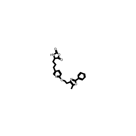 Cc1oc(-c2ccccc2)nc1CCOc1ccc(CCCC2NC(=O)OC2=O)cn1